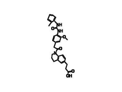 COc1cc(CC(=O)N2CCCc3cc(CCC(=O)O)ccc32)ccc1NC(=O)Nc1ccccc1C